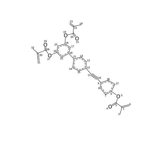 C=C(C)C(=O)Oc1ccc(C#Cc2ccc(-c3cc(OC(=O)C(=C)C)cc(OC(=O)C(=C)C)c3)cc2)cc1